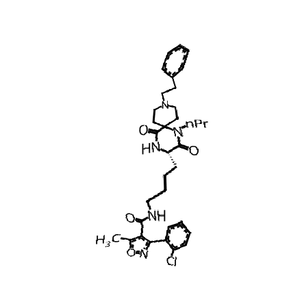 CCCN1C(=O)[C@H](CCCCNC(=O)c2c(-c3ccccc3Cl)noc2C)NC(=O)C12CCN(CCc1ccccc1)CC2